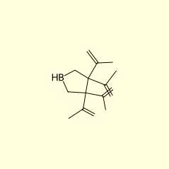 C=C(C)C1(C(=C)C)CBCC1(C(=C)C)C(=C)C